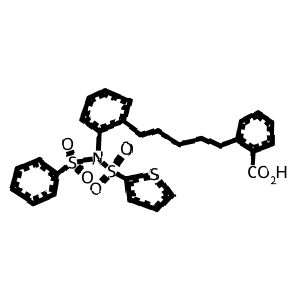 O=C(O)c1ccccc1CCCCCc1ccccc1N(S(=O)(=O)c1ccccc1)S(=O)(=O)c1cccs1